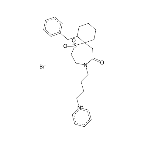 O=C1CC2(CCCCC2Cc2ccccc2)S(=O)(=O)CCN1CCCC[n+]1ccccc1.[Br-]